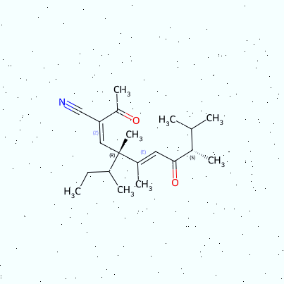 CCC(C)[C@](C)(/C=C(/C#N)C(C)=O)/C(C)=C/C(=O)[C@@H](C)C(C)C